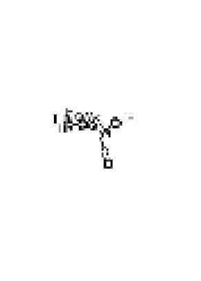 COc1cc(OCc2sc(-c3ccc(C(F)(F)F)cc3)nc2CCCOCc2ccccc2)ccc1C(=N)NO